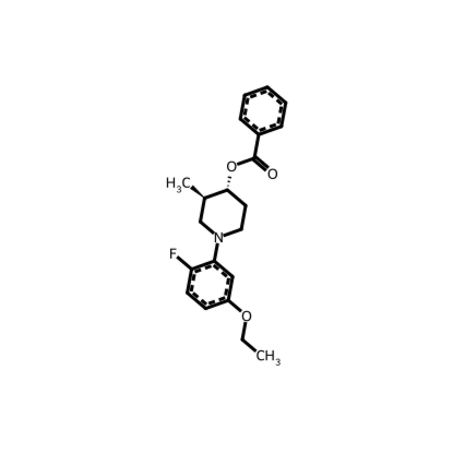 CCOc1ccc(F)c(N2CC[C@@H](OC(=O)c3ccccc3)[C@H](C)C2)c1